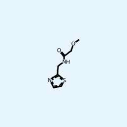 COCC(=O)NCc1nccs1